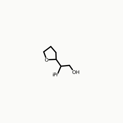 CC(C)C(CO)C1CCCO1